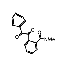 CNC(=O)c1ccccc1C(=O)C(=O)c1ccccc1